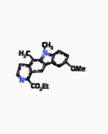 CCOC(=O)c1nccc2c(C)c3c(cc12)c1cc(OC)ccc1n3C